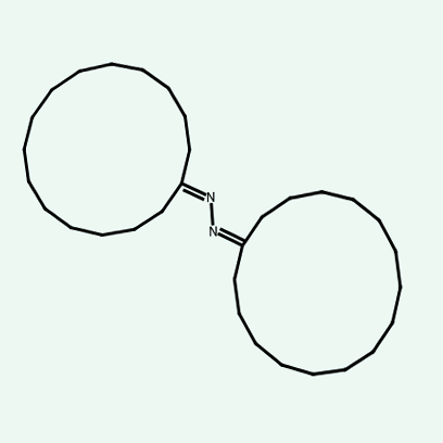 C1CCCCCCCC(=NN=C2CCCCCCCCCCCCCCC2)CCCCCCC1